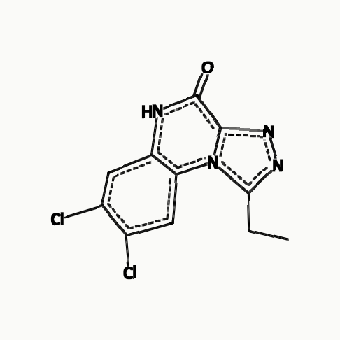 CCc1nnc2c(=O)[nH]c3cc(Cl)c(Cl)cc3n12